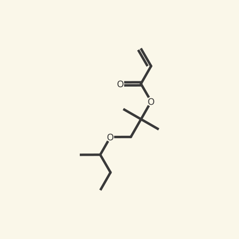 C=CC(=O)OC(C)(C)COC(C)CC